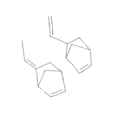 C=CC1CC2C=CC1C2.CC=C1CC2C=CC1C2